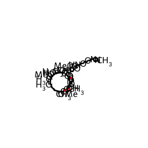 CO[C@H]1C[C@@H]2CC[C@@H](C)[C@@](O)(O2)C(=O)C(=O)N2CCCC[C@H]2C(=O)O[C@H]([C@H](N)C[C@@H]2CC[C@@H](OC(=O)NCCOCCOCCN3CCN(C)CC3)[C@H](OC)C2)C[C@@H](O)[C@H](C)/C=C(\C)[C@@H](O)[C@@H](OC)C(=O)[C@H](C)C[C@H](C)/C=C/C=C/C=C/1C